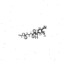 CCOC(=O)CCCC(=O)C(=O)Nc1ccc(C#N)c(SC)c1